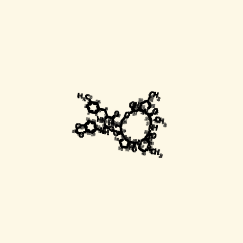 Cc1cccc(C[C@H](NC(=O)Nc2ccc3c(c2)OCO3)C(=O)N[C@H]2COC(=O)[C@@H]3C[C@@H](C)CN3C(=O)[C@H](C)NC(=O)[C@@H]3CN(C)CCN3C(=O)[C@@H]3CCCN3C2=O)c1